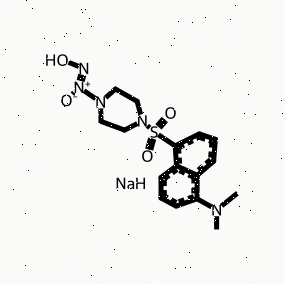 CN(C)c1cccc2c(S(=O)(=O)N3CCN([N+]([O-])=NO)CC3)cccc12.[NaH]